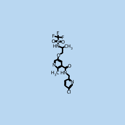 Cc1ncc(OCC(C)NS(=O)(=O)C(F)(F)F)cc1C(=O)NCc1ccc(Cl)cn1